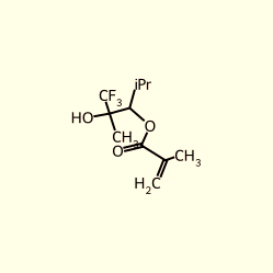 C=C(C)C(=O)OC(C(C)C)C(C)(O)C(F)(F)F